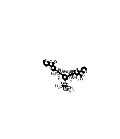 BC(B)(c1cnc2c(c1)c(=O)oc1ncccc12)C(O)(O)c1cc(B2OC(C)(C)C(C)(C)O2)cc(C(O)(O)C(B)(B)c2cnc3c(c2)c(=O)oc2ncccc23)c1